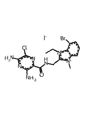 CCn1c(CNC(=O)c2nc(Cl)c(N)nc2N)[n+](C)c2cccc(Br)c21.[I-]